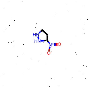 O=[N+]([O-])C1C[CH]NN1